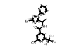 CC(NC(=O)c1cc(Cl)nc(C(F)(F)F)c1)c1nc(Br)nn1-c1ncccn1